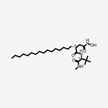 CCCCCCCCCCCCCCCC[C@H](CC(=O)NO)C(=O)N[C@H](C(=O)NC)C(C)(C)C